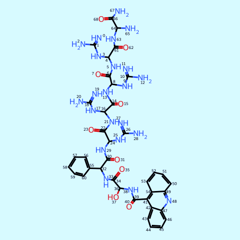 N=C(N)NC(NC(=O)C(NC(=N)N)NC(=O)C(NC(=N)N)NC(=O)C(NC(=N)N)NC(=O)C(NC(=O)C(O)NC(=O)c1c2ccccc2nc2ccccc12)c1ccccc1)C(=O)NC(N)C(N)=O